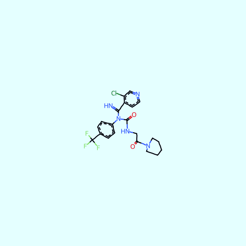 N=C(c1ccncc1Cl)N(C(=O)NCC(=O)N1CCCCC1)c1ccc(C(F)(F)F)cc1